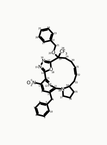 O=[N+]([O-])c1cc(Cc2ccccc2)c2nc1-c1nnc(o1)C(OCc1ccccc1)(C(F)(F)F)CCC=CCC1CCCN21